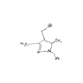 Cc1nn(C(C)C)c(C)c1CC(C)(C)C